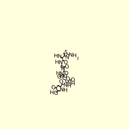 N=C(C(=O)NC1CN(C(=O)NS(=O)(=O)CC2OC(=O)NC2NC(=O)c2cc(=O)c(O)c[nH]2)C1=O)c1csc(N)n1